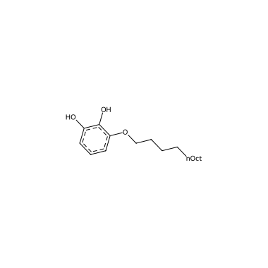 CCCCCCCCCCCCOc1cccc(O)c1O